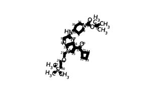 CC(C)(C)OC(=O)N1CCC(Nc2cnc3c(n2)c(C(=O)C2CCC2)cn3COCC[Si](C)(C)C)CC1